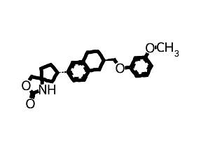 COc1cccc(OC[C@@H]2CCc3cc([C@H]4CCC5(COC(=O)N5)C4)ccc3C2)c1